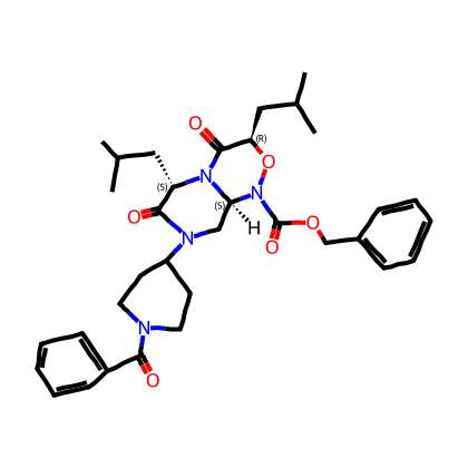 CC(C)C[C@H]1ON(C(=O)OCc2ccccc2)[C@H]2CN(C3CCN(C(=O)c4ccccc4)CC3)C(=O)[C@H](CC(C)C)N2C1=O